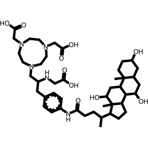 CC(CCC(=O)Nc1ccc(CC(CN2CCN(CC(=O)O)CCN(CC(=O)O)CC2)NCC(=O)O)cc1)C1CCC2C3C(O)CC4CC(O)CCC4(C)C3CC(O)C12C